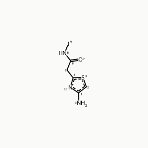 Nc1csc(CC(=O)NI)n1